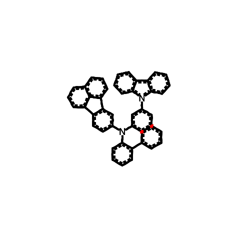 c1ccc(-c2ccccc2N(c2cccc(-n3c4ccccc4c4ccccc43)c2)c2ccc3c(c2)-c2cccc4cccc-3c24)cc1